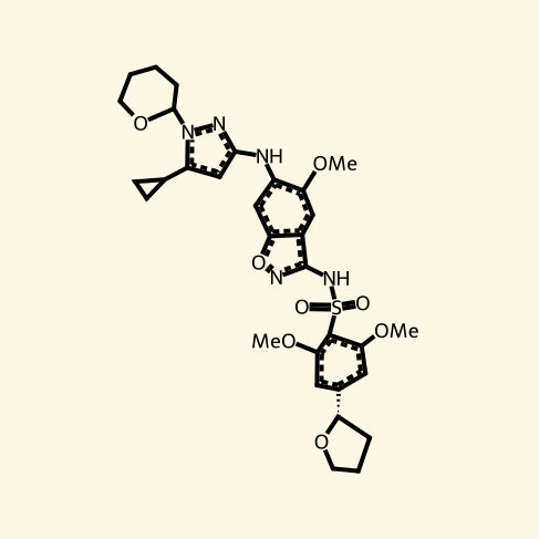 COc1cc2c(NS(=O)(=O)c3c(OC)cc([C@@H]4CCCO4)cc3OC)noc2cc1Nc1cc(C2CC2)n(C2CCCCO2)n1